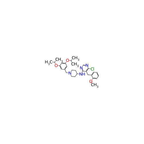 COc1ccccc1Cc1c(Cl)ncnc1NC1CCN(Cc2cc(OC(C)C)cc(OC(C)C)c2)CC1